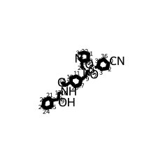 N#Cc1ccc(S(=O)(=O)N(Cc2ccc(C(=O)NCC(O)c3ccccc3)cc2)Cc2ccccn2)cc1